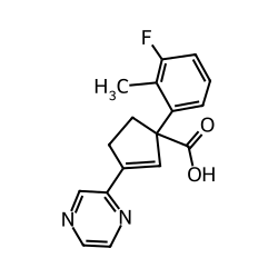 Cc1c(F)cccc1C1(C(=O)O)C=C(c2cnccn2)CC1